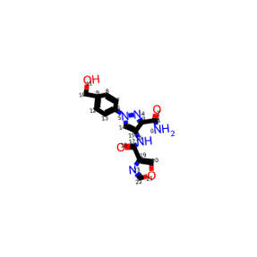 NC(=O)c1nn(-c2ccc(CO)cc2)cc1NC(=O)c1cocn1